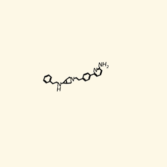 Nc1cccc(-c2ccc(CCN3CC4C(C3)C4NCCc3ccccc3)cc2)n1